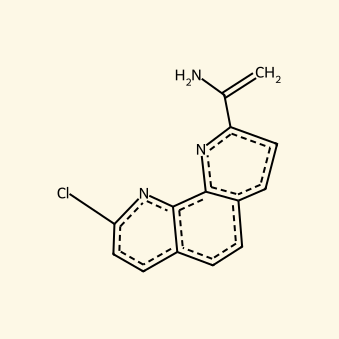 C=C(N)c1ccc2ccc3ccc(Cl)nc3c2n1